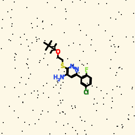 CC(C)(C)[Si](C)(C)OCCSc1nnc(-c2cc(Cl)ccc2F)cc1N